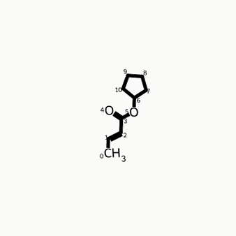 CC=CC(=O)OC1CCCC1